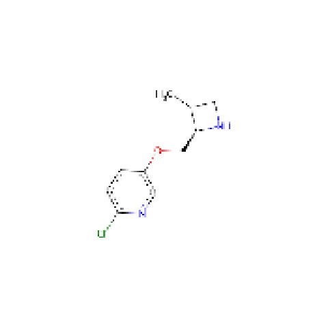 CC1CN[C@H]1COc1ccc(Cl)nc1